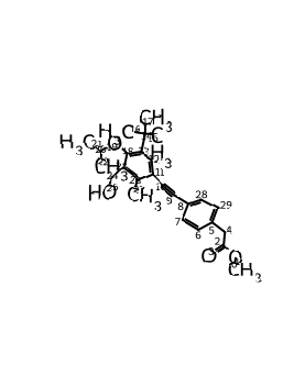 COC(=O)Cc1ccc(C#Cc2cc(C(C)(C)C)c(OC(C)C)c(CO)c2C)cc1